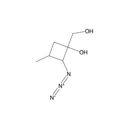 CC1CC(O)(CO)C1N=[N+]=[N-]